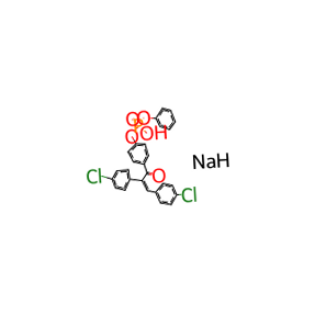 O=C(C(=Cc1ccc(Cl)cc1)c1ccc(Cl)cc1)c1ccc(OP(=O)(O)Oc2ccccc2)cc1.[NaH]